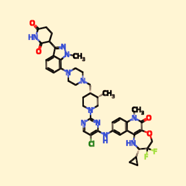 C[C@@H]1CN(c2ncc(Cl)c(Nc3ccc4c(c3)c3c(c(=O)n4C)OCC(F)(F)[C@H](C4CC4)N3)n2)CC[C@@H]1CN1CCN(c2cccc3c(C4CCC(=O)NC4=O)nn(C)c23)CC1